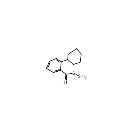 O=C(S[SiH3])c1ccccc1C1CCCCC1